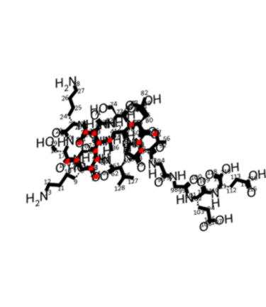 CC(C)C[C@H](NC(=O)[C@H](CCCCN)NC(=O)[C@H](CO)NC(=O)[C@H](CCCCN)NC(=O)[C@@H](N)CC(C)C)C(=O)NCC(=O)N[C@@H](CC(=O)O)C(=O)N[C@@H](CC(C)C)C(=O)N[C@H](C(=O)N[C@H](C(=O)N[C@H](C(=O)N[C@@H](CO)C(=O)N[C@@H](CC(C)C)C(=O)N1CCC[C@H]1C(=O)NCC(=O)NCC(=O)N[C@@H](CCC(=O)O)C(=O)N[C@@H](CCC(=O)O)C(=O)O)C(C)C)[C@@H](C)O)C(C)C